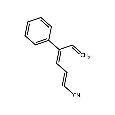 C=C/C(=C\C=C\C#N)c1ccccc1